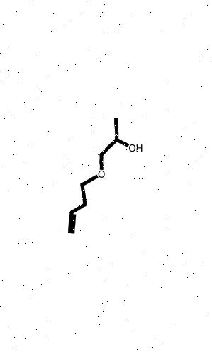 C=CCCO[CH]C(C)O